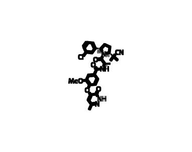 COc1cc(C(=O)N[C@H](C)C(=O)N2[C@H](c3cc#cc(Cl)c3)CC[C@@H]2C(C)(C)C#N)ccc1Oc1cc(C)n[nH]c1=O